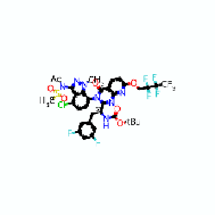 CC(=O)N(c1nn(C)c2c(-n3c([C@H](Cc4cc(F)cc(F)c4)NC(=O)OC(C)(C)C)nc4nc(OCC(F)(F)C(F)(F)C(F)(F)F)ccc4c3=O)ccc(Cl)c12)S(C)(=O)=O